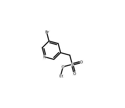 CCOS(=O)(=O)Cc1cncc(Br)c1